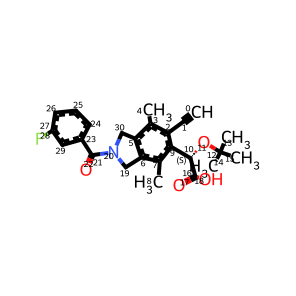 C#Cc1c(C)c2c(c(C)c1[C@H](OC(C)(C)C)C(=O)O)CN(C(=O)c1cccc(F)c1)C2